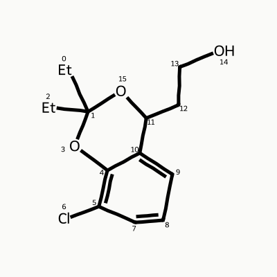 CCC1(CC)Oc2c(Cl)cccc2C(CCO)O1